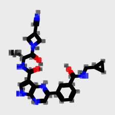 C[C@@H](NC(=O)c1c[nH]c2ncc(-c3cccc(C(=O)NCC4CC4)c3)nc12)C(=O)N1CC(C#N)C1